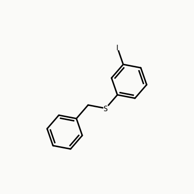 Ic1cccc(SCc2ccccc2)c1